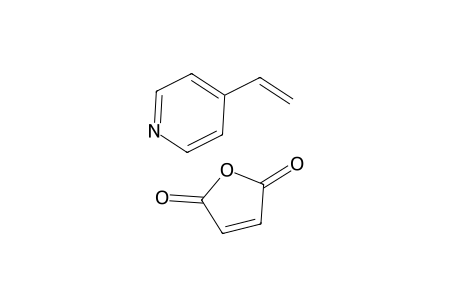 C=Cc1ccncc1.O=C1C=CC(=O)O1